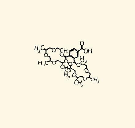 CCOCC(C)OCC(C)OCC(C)OC(=O)c1ccc(C(=O)O)cc1C(=O)OC(C)COC(C)COC(C)COCC